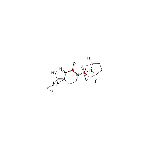 NC1CCN(S(=O)(=O)N2[C@@H]3CC[C@H]2C[C@H](NC(=O)c2cc(C4CC4)[nH]n2)C3)CC1